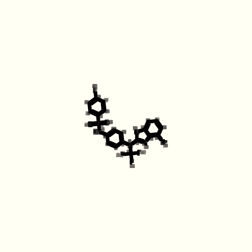 O=S(=O)(Nc1ccc(N(c2nc3c(Br)cccc3o2)C(F)(F)F)cc1)c1ccc(F)cc1